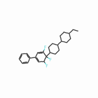 CCC1CCC(C2CCC(C3(F)C(F)=CC(c4ccccc4)=CC3F)CC2)CC1